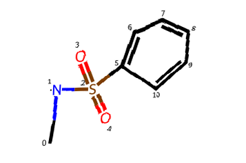 C[N]S(=O)(=O)c1ccccc1